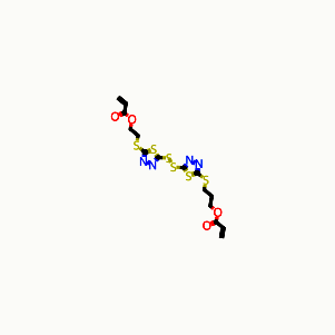 C=CC(=O)OCCCSc1nnc(SSc2nnc(SCCOC(=O)C=C)s2)s1